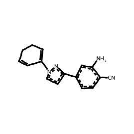 N#Cc1ccc(-c2ccn(C3=CCCC=C3)n2)cc1N